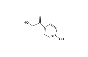 C=C(CO)c1ccc(O)cc1